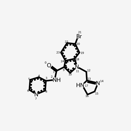 O=C(Nc1cccnc1)c1cn(CC2=NCCN2)c2cc(Br)ccc12